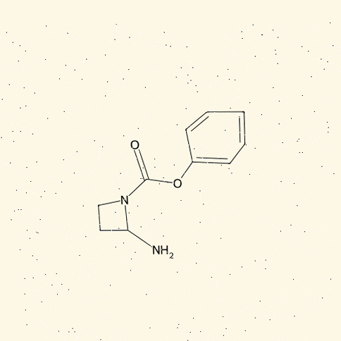 NC1CCN1C(=O)Oc1ccccc1